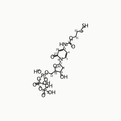 O=C(Nc1ccn([C@H]2CC(O)[C@@H](COP(=O)(O)OP(=O)(O)OP(=O)(O)O)O2)c(=O)c1)OCCSS